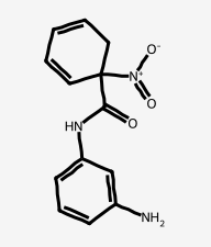 Nc1cccc(NC(=O)C2([N+](=O)[O-])C=CC=CC2)c1